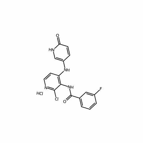 Cl.O=C(Nc1c(Nc2ccc(=O)[nH]c2)ccnc1Cl)c1cccc(F)c1